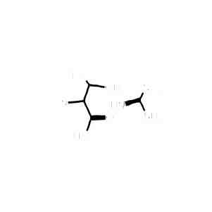 CC(O)C(N)C(=O)O.N=C(N)N